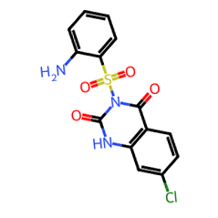 Nc1ccccc1S(=O)(=O)n1c(=O)[nH]c2cc(Cl)ccc2c1=O